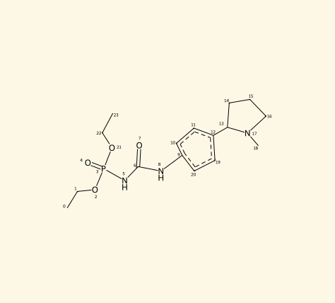 CCOP(=O)(NC(=O)Nc1ccc(C2CCCN2C)cc1)OCC